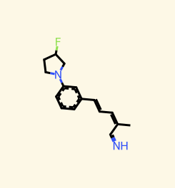 C/C(C=N)=C/C=C/c1cccc(N2CCC(F)C2)c1